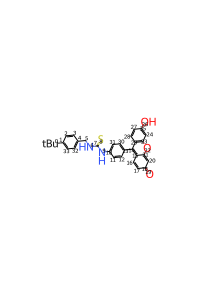 CC(C)(C)c1ccc(CNC(=S)Nc2ccc(-c3c4ccc(=O)cc-4oc4cc(O)ccc34)cc2)cc1